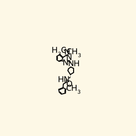 Cc1ccccc1CC(=O)NC[C@H]1CC[C@@H](Nc2nc(N(C)C)c3ccccc3n2)CC1